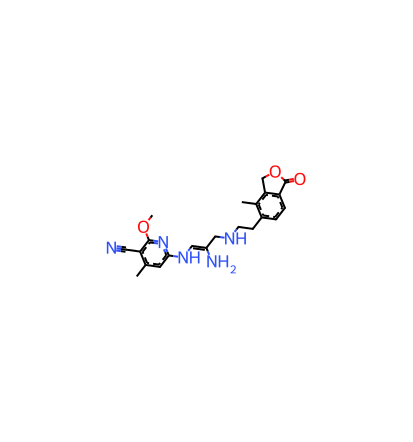 COc1nc(N/C=C(\N)CNCCc2ccc3c(c2C)COC3=O)cc(C)c1C#N